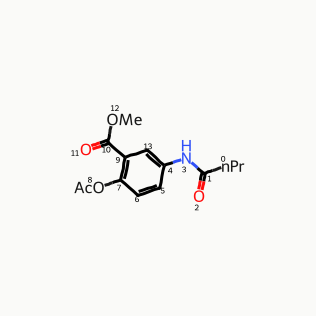 CCCC(=O)Nc1ccc(OC(C)=O)c(C(=O)OC)c1